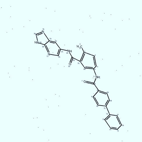 Cc1ccc(NC(=O)c2ccc(-c3ccccc3)cc2)cc1C(=O)Nc1cnc2[nH]cnc2c1